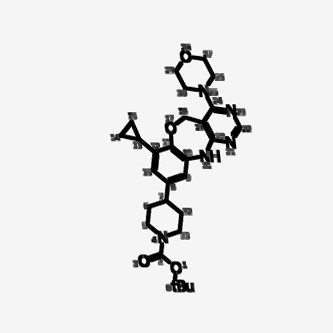 CC(C)(C)OC(=O)N1CCC(c2cc3c(c(C4CC4)c2)OCc2c(ncnc2N2CCOCC2)N3)CC1